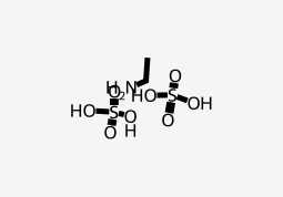 CCN.O=S(=O)(O)O.O=S(=O)(O)O